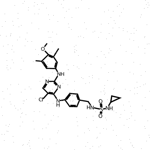 COc1c(C)cc(Nc2ncc(Cl)c(Nc3ccc(CNS(=O)(=O)NC4CC4)cc3)n2)cc1C